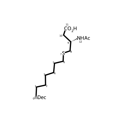 CCCCCCCCCCCCCCCCSC[C@H](CC(=O)O)NC(C)=O